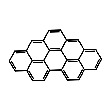 c1cc2ccc3c4ccc5cccc6cc7ccc8cc(c1)c2c3c8c7c4c56